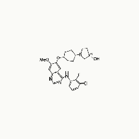 COc1cc2ncnc(Nc3cccc(Cl)c3F)c2cc1OC1CCC(N2CC[C@H](O)C2)CC1